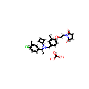 Cc1cc([C@H](C)N(Cc2ccc(OCCN3C(=O)CCC3=O)c(C)c2)C2CCC2)ccc1Cl.O=C(O)O